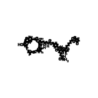 C=C1CC2CC[C@]34C[C@@H](O)C(O3)C3CC(O4)[C@H]4OC(CCC4O3)CC(=O)CC3[C@@H](OC)C(CC(O)CNC(=O)OCc4ccc(NC(=O)C(CCCNC(N)=O)NC(=O)[C@@H](NC(=O)CCCCCC(=O)ON5C(=O)C=CC5=O)C(C)C)cc4)O[C@H]3CC3OC(CCC1O2)C[C@@H](C)C3=C